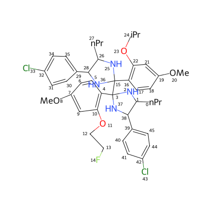 CCCC1NC(c2ccc(OC)cc2OCCF)(C2(c3ccc(OC)cc3OC(C)C)NC(CCC)C(c3ccc(Cl)cc3)N2)NC1c1ccc(Cl)cc1